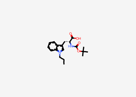 CCCn1cc(C[C@@H](NC(=O)OC(C)(C)C)C(=O)O)c2ccccc21